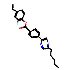 CCCCCc1cnc(-c2ccc(C(=O)Oc3ccc(CC)cc3F)cc2)cn1